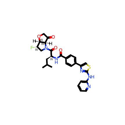 CC(C)C[C@H](NC(=O)c1ccc(-c2csc(Nc3ccccn3)n2)cc1)C(=O)N1C[C@H](F)[C@H]2OCC(=O)[C@H]21